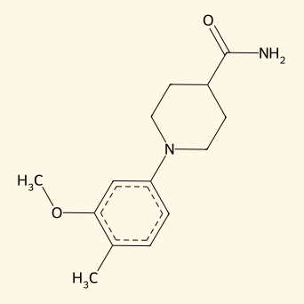 COc1cc(N2CCC(C(N)=O)CC2)ccc1C